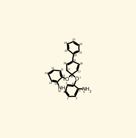 Nc1ccccc1OC1(Oc2ccccc2N)C=CC(c2ccccc2)=CC1